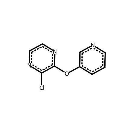 Clc1nccnc1Oc1cccnc1